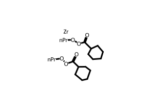 CCCOOC(=O)C1CCCCC1.CCCOOC(=O)C1CCCCC1.[Zr]